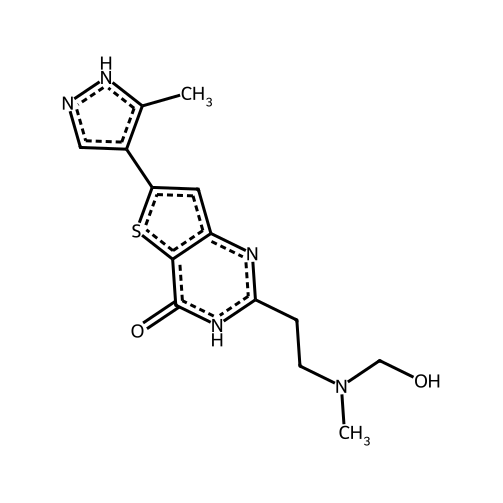 Cc1[nH]ncc1-c1cc2nc(CCN(C)CO)[nH]c(=O)c2s1